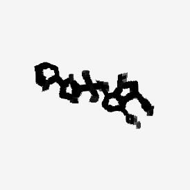 Cc1ccc(NS(=O)(=O)c2ncc(-c3ccccn3)s2)c2[nH]cc(C#N)c12